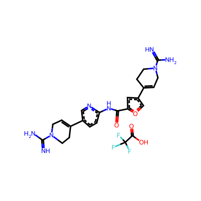 N=C(N)N1CC=C(c2ccc(NC(=O)c3cc(C4=CCN(C(=N)N)CC4)co3)nc2)CC1.O=C(O)C(F)(F)F